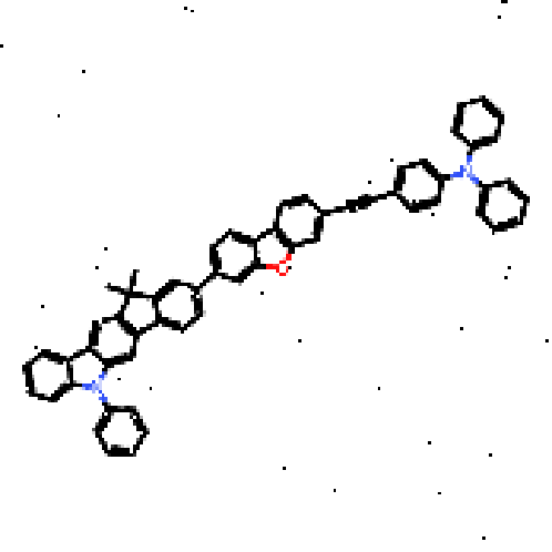 CC1(C)c2cc(-c3ccc4c(c3)oc3cc(C#Cc5ccc(N(c6ccccc6)c6ccccc6)cc5)ccc34)ccc2-c2cc3c(cc21)c1ccccc1n3-c1ccccc1